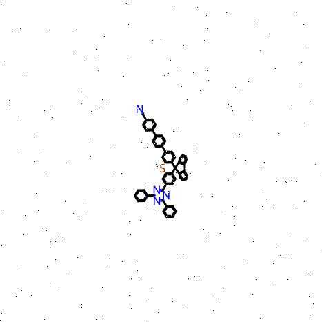 N#Cc1ccc(-c2ccc(-c3ccc4c(c3)Sc3cc(-c5nc(-c6ccccc6)nc(-c6ccccc6)n5)ccc3C43c4ccccc4-c4ccccc43)cc2)cc1